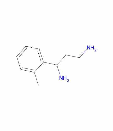 Cc1ccccc1C(N)CCN